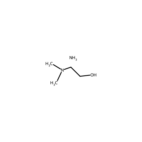 CN(C)CCO.N